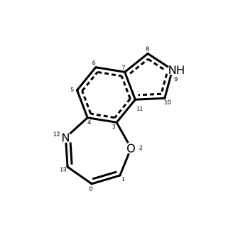 C1=COc2c(ccc3c[nH]cc23)N=C1